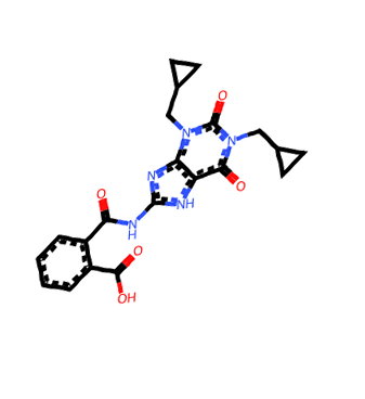 O=C(O)c1ccccc1C(=O)Nc1nc2c([nH]1)c(=O)n(CC1CC1)c(=O)n2CC1CC1